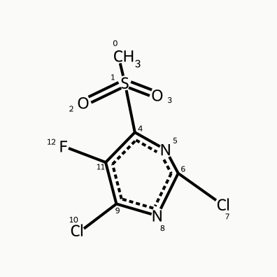 CS(=O)(=O)c1nc(Cl)nc(Cl)c1F